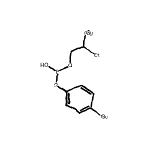 CCCCC(CC)COP(O)Oc1ccc(C(C)(C)C)cc1